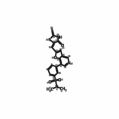 CN(C)S(=O)(=O)c1cccc(-c2cncc3cc(/C=C4/SC(=S)NC4=O)oc23)c1